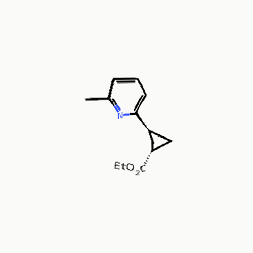 CCOC(=O)[C@H]1C[C@@H]1c1cccc(C)n1